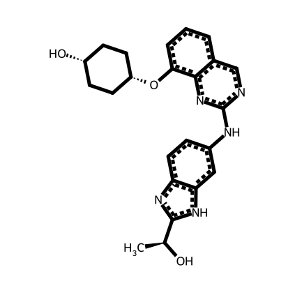 C[C@H](O)c1nc2ccc(Nc3ncc4cccc(O[C@H]5CC[C@@H](O)CC5)c4n3)cc2[nH]1